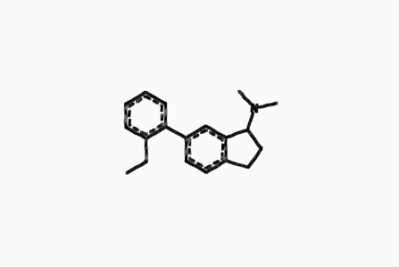 CCc1ccccc1-c1ccc2c(c1)C(N(C)C)CC2